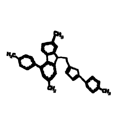 Cc1ccc(C2=CC=C(CC3c4cc(C)ccc4-c4c(-c5ccc(C)cc5)cc(C)cc43)C2)cc1